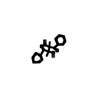 CC(O)(C(=O)c1ccccc1)C(C)(O)C(=O)c1ccccc1